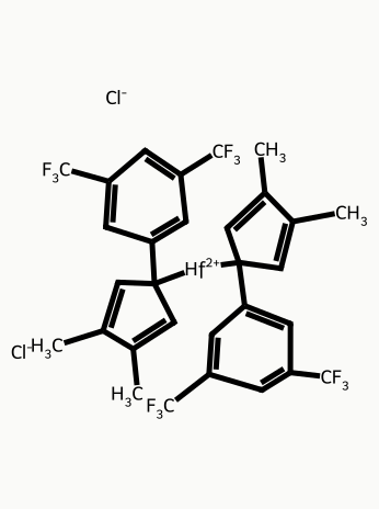 CC1=C[C]([Hf+2][C]2(c3cc(C(F)(F)F)cc(C(F)(F)F)c3)C=C(C)C(C)=C2)(c2cc(C(F)(F)F)cc(C(F)(F)F)c2)C=C1C.[Cl-].[Cl-]